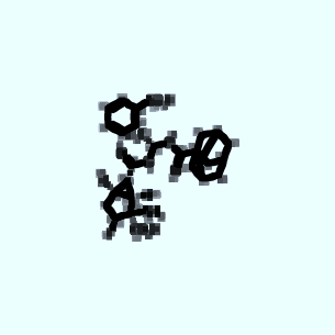 C[C@@H](OC(=O)[C@H]1[C@@H]2C[C@H](F)[C@@](N)(C(=O)O)[C@@H]21)OC(=O)C12CC3CC(CC(C3)C1)C2.O=S(=O)(O)c1ccccc1